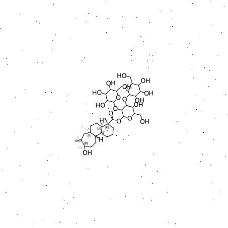 C=C1C[C@@]2(C)CC[C@H]3[C@@](C)(CCC[C@@]3(C)C(=O)OC3OC(CO)C(O)C(OC4OC(CO)C(O)C(O)C4O)C3OC3OC(CO)C(O)C(O)C3O)[C@@H]2CC[C@@]1(C)O